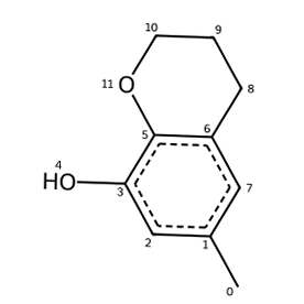 Cc1cc(O)c2c(c1)CCCO2